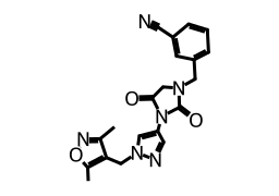 Cc1noc(C)c1Cn1cc(N2C(=O)CN(Cc3cccc(C#N)c3)C2=O)cn1